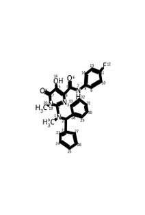 CN(c1nc(C(=O)Nc2ccc(F)cc2)c(O)c(=O)n1C)C(c1ccccc1)c1ccccc1